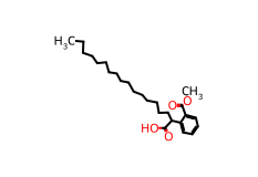 CCCCCCCCCCCCCCCCC(C(=O)O)c1ccccc1C(=O)OC